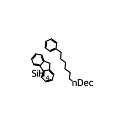 CCCCCCCCCCCCCCCCc1ccccc1.[SiH4].c1ccc2c(c1)Cc1ccccc1-2